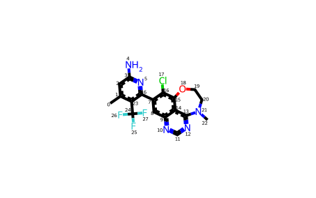 Cc1cc(N)nc(-c2cc3ncnc4c3c(c2Cl)OCCN4C)c1C(F)(F)F